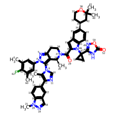 Cc1cc(-n2nc3c(c2-n2cnc(-c4ccc5c(cnn5C)c4)c2C)[C@H](C)N(C(=O)c2cc4cc([C@H]5CCOC(C)(C)C5)ccc4n2C2(c4noc(=O)[nH]4)CC2)CC3)cc(C)c1F